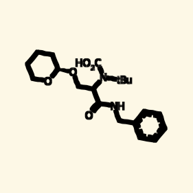 CC(C)(C)N(C(=O)O)C(CO[C@@H]1CCCCO1)C(=O)NCc1ccccc1